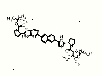 COC(=O)N[C@H](C(=O)N1CCC[C@H]1c1ncc(-c2ccc3cc(-c4ccc5nc(C6CCCN6C(=O)OC(C)(C)C)[nH]c5n4)ccc3c2)[nH]1)C(C)C